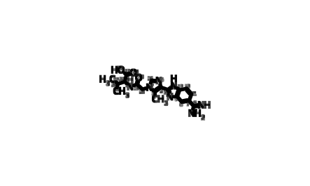 Cc1c(-c2nc3cc(C(=N)N)ccc3[nH]2)ncn1CC(=O)NC(C(=O)O)C(C)C